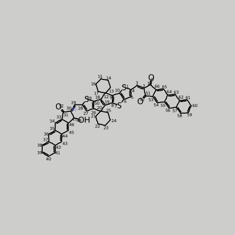 O=C1C(=Cc2cc3sc4c(c3s2)C2(CCCCC2)C2=C4C3(CCCCC3)c3cc(/C=C4/C(=O)c5cc6cc7ccccc7cc6cc5C4O)sc32)C(=O)c2cc3cc4ccccc4cc3cc21